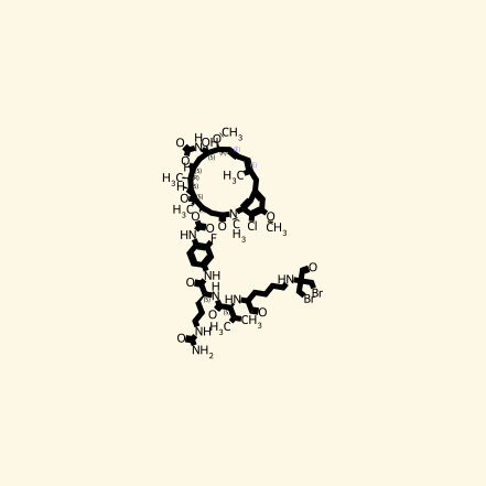 COc1cc2cc(c1Cl)N(C)C(=O)C[C@H](OC(=O)Nc1ccc(NC(=O)[C@H](CCCNC(N)=O)NC(=O)[C@@H](NC(C=O)CCCCNC(C=O)(CBr)CBr)C(C)C)cc1F)[C@]1(C)O[C@H]1[C@H](C)[C@@H]1C[C@@](O)(NC(=O)O1)[C@H](OC)/C=C/C=C(\C)C2